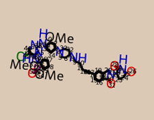 COc1cc(N2CCC(NCCCC#Cc3ccc4c(c3)CN(C3CCC(=O)NC3=O)C4=O)CC2)ccc1Nc1ncc(Cl)c(Nc2ccccc2P(=O)(OC)OC)n1